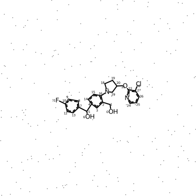 OCc1cc(C(O)c2ccc(F)cc2)ccc1N1CCC(Oc2ncccc2Cl)C1